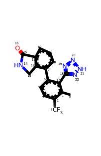 Cc1c(C(F)(F)F)ccc(-c2cccc3c2CNC3=O)c1-c1nn[nH]n1